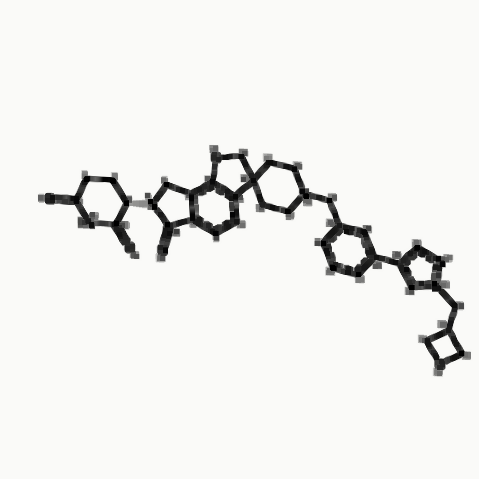 O=C1CC[C@H](N2Cc3c(ccc4c3OCC43CCN(Cc4cccc(-c5cnn(CC6COC6)c5)c4)CC3)C2=O)C(=O)N1